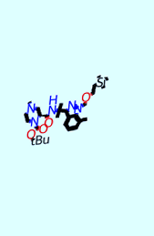 Cc1cccc2c(C(C)(C)NC(=O)[C@@H]3CN(C)CCN3C(=O)OC(C)(C)C)nn(COCC[Si](C)(C)C)c12